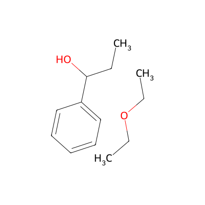 CCC(O)c1ccccc1.CCOCC